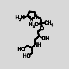 CC(C)(Cn1ccc(N)n1)OC[C@H](O)CNC(CO)CO